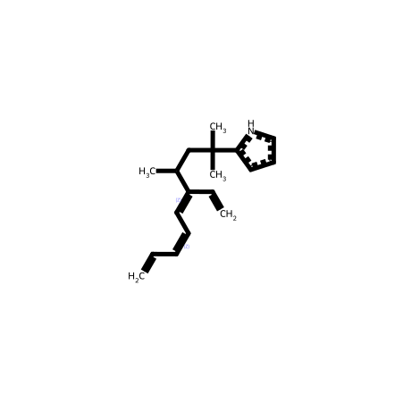 C=C/C=C\C=C(/C=C)C(C)CC(C)(C)c1ccc[nH]1